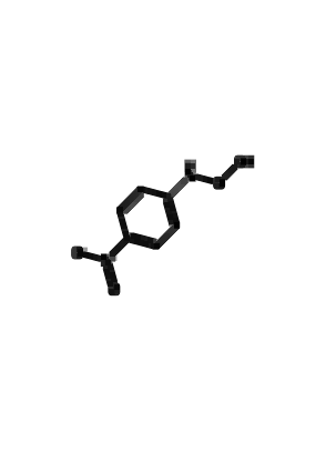 O=[N+]([O-])c1ccc(NOO)cc1